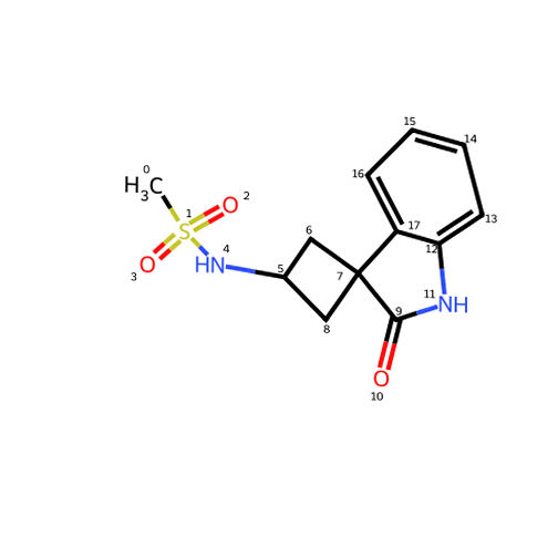 CS(=O)(=O)NC1CC2(C1)C(=O)Nc1ccccc12